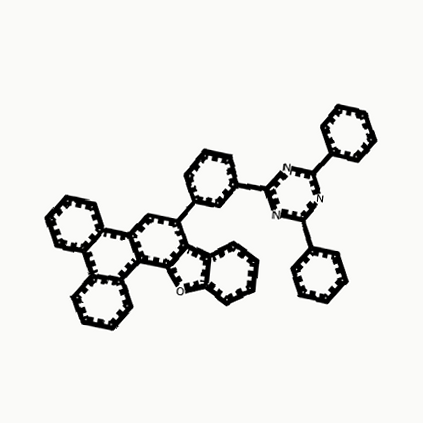 c1ccc(-c2nc(-c3ccccc3)nc(-c3cccc(-c4cc5c6ccccc6c6ccccc6c5c5oc6ccccc6c45)c3)n2)cc1